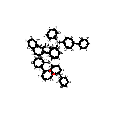 c1ccc(-c2ccc(N(c3ccccc3)c3ccc(N(c4ccc(-c5ccccc5)cc4)c4ccccc4-c4ccccc4)c4c3oc3c5ccccc5ccc34)cc2)cc1